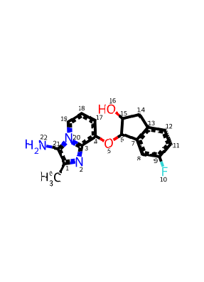 Cc1nc2c(OC3c4cc(F)ccc4CC3O)cccn2c1N